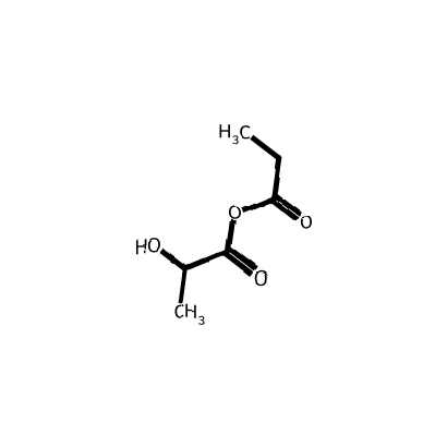 CCC(=O)OC(=O)C(C)O